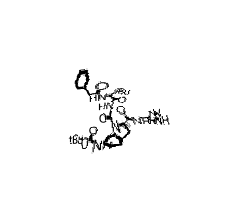 CC[C@H](C)[C@H](NC(=O)Cc1ccccc1)C(=O)NCC(=O)N1c2cc(NC(=O)OC(C)(C)C)ccc2C[C@H]1C(=O)NCc1nn[nH]n1